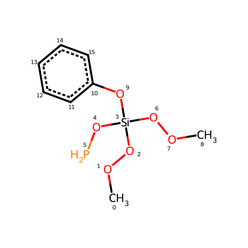 COO[Si](OP)(OOC)Oc1ccccc1